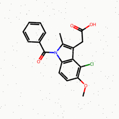 COc1ccc2c(c1Cl)c(CC(=O)O)c(C)n2C(=O)c1ccccc1